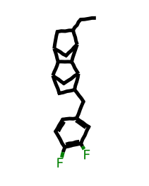 CCC1CC2CC1C1C3CC(CC3Cc3ccc(F)c(F)c3)C21